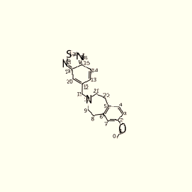 COc1ccc2c(c1)CCN(Cc1ccc3nsnc3c1)CC2